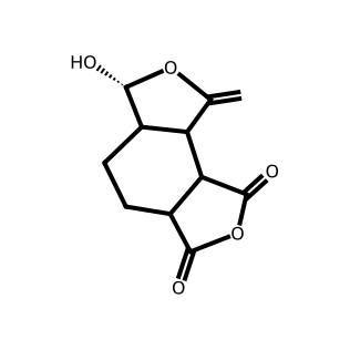 C=C1O[C@@H](O)C2CCC3C(=O)OC(=O)C3C12